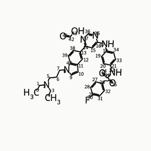 CCN(CC)CCCn1ccc2cc(-c3cc(Nc4ccc(NS(=O)(=O)c5ccc(F)cc5)cc4)ncn3)ccc21.O=CO